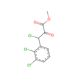 COC(=O)C(=O)C(Cl)c1cccc(Cl)c1Cl